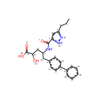 CCCc1cc(C(=O)NC(Cc2ccc(-c3ccccc3)cc2)CC(O)C(=O)O)[nH]n1